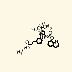 CCOC(=O)CCc1cccc(-n2nc(C(C)(C)C)cc2NC(=O)Oc2cccc3cccnc23)c1